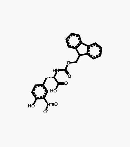 O=C(N[C@@H](Cc1ccc(O)c([N+](=O)[O-])c1)C(=O)O)OCC1c2ccccc2-c2ccccc21